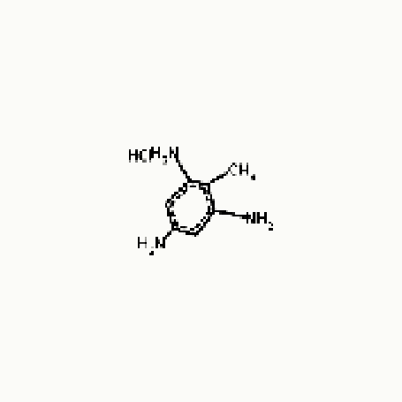 Cc1c(N)cc(N)cc1N.Cl